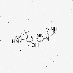 Cc1n[nH]cc1-c1cc(O)c(-c2ccc(N(C)C3CC(C)(C)NC(C)(C)C3)nn2)cc1C(C)(C)C